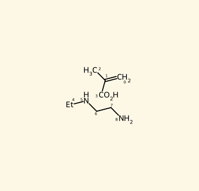 C=C(C)C(=O)O.CCNCCN